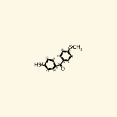 CSc1ccc(C(=O)c2ccc(S)cc2)cc1